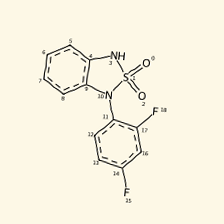 O=S1(=O)Nc2ccccc2N1c1ccc(F)cc1F